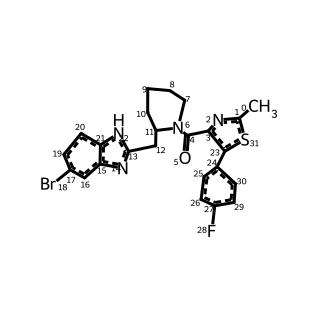 Cc1nc(C(=O)N2CCCCC2Cc2nc3cc(Br)ccc3[nH]2)c(-c2ccc(F)cc2)s1